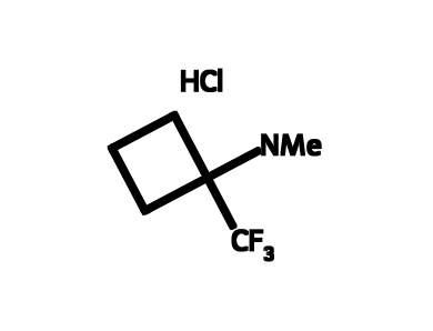 CNC1(C(F)(F)F)CCC1.Cl